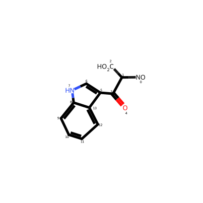 O=NC(C(=O)O)C(=O)c1c[nH]c2ccccc12